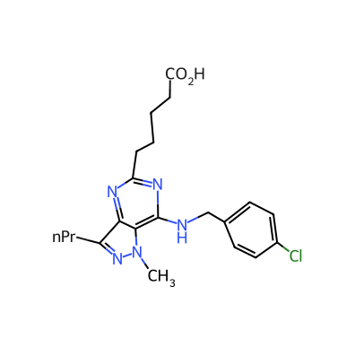 CCCc1nn(C)c2c(NCc3ccc(Cl)cc3)nc(CCCCC(=O)O)nc12